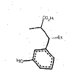 CC[C@H](c1cccc(O)c1)C(C)C(=O)O